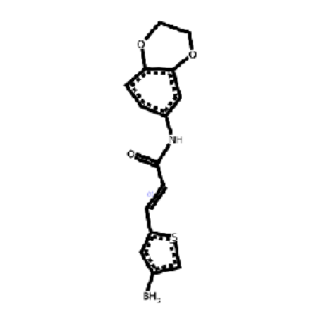 Bc1csc(/C=C/C(=O)Nc2ccc3c(c2)OCCO3)c1